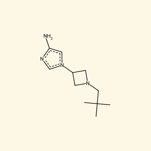 CC(C)(C)CN1CC(n2cnc(N)c2)C1